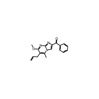 C=CCc1c(OC)nc2nc(C(=O)c3ccccc3)cn2c1C